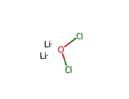 ClOCl.[Li].[Li]